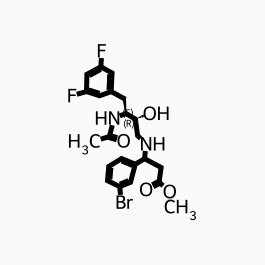 COC(=O)CC(NC[C@@H](O)[C@H](Cc1cc(F)cc(F)c1)NC(C)=O)c1cccc(Br)c1